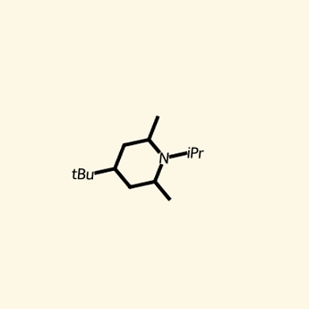 CC(C)N1C(C)CC(C(C)(C)C)CC1C